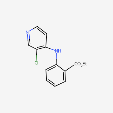 CCOC(=O)c1ccccc1Nc1ccncc1Cl